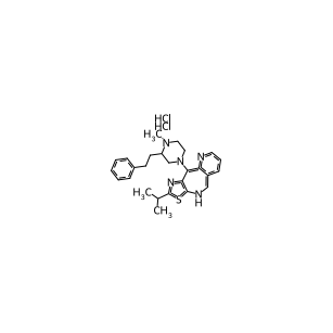 CC(C)c1nc2c(s1)NC=c1cccnc1=C2N1CCN(C)C(CCc2ccccc2)C1.Cl.Cl